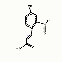 NC(=O)/C=C/c1ccc(O)cc1[N+](=O)[O-]